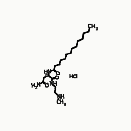 CCCCCCCCCCCCCC(=O)N[C@H](CC(N)=O)C(=O)NCCNC.Cl